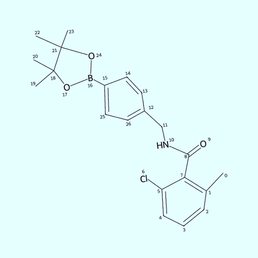 Cc1cccc(Cl)c1C(=O)NCc1ccc(B2OC(C)(C)C(C)(C)O2)cc1